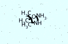 CCC1(C)OCCNC1C.N